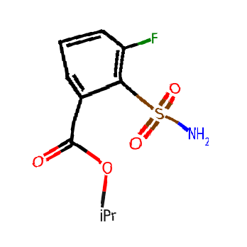 CC(C)OC(=O)c1cccc(F)c1S(N)(=O)=O